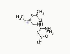 C=C(Cl)S/C(=C\C)CNC(=N[N+](=O)[O-])NC